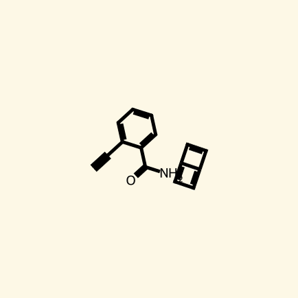 C#Cc1ccccc1C(N)=O.c1cc2ccc1-2